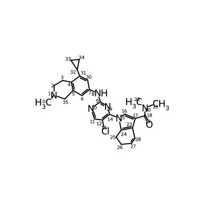 CN1CCc2c(cc(Nc3ncc(Cl)c(-n4cc(C(=O)N(C)C)c5c4CCC=C5)n3)cc2C2CC2)C1